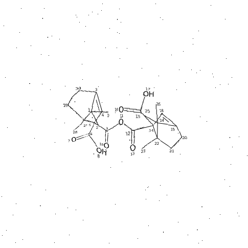 CC1(C)C2=CC(C(=O)O)(C(=O)OC(=O)C3(C(=O)O)C=C4CCC3(C)C4(C)C)C1(C)CC2